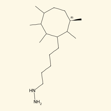 CC1CC[C@@H](C)C(C)C(CCCCCNN)C(C)C1C